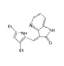 CCc1cc(CC)c(C=C2C(=O)Nc3cccnc32)[nH]1